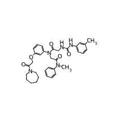 Cc1cccc(NC(=O)NCC(=O)N(CC(=O)N(C)c2ccccc2)c2cccc(OCC(=O)N3CCCCCC3)c2)c1